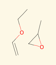 C=COCC.CC1CO1